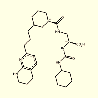 O=C(NC1CCCCC1)N[C@@H](CNC(=O)[C@@H]1CCCN(CCCc2ccc3c(n2)NCCC3)C1)C(=O)O